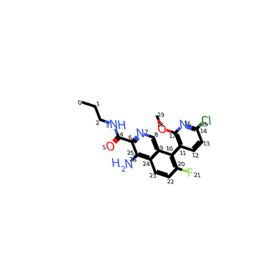 CCCNC(=O)c1ncc2c(-c3ccc(Cl)nc3OC)c(F)ccc2c1N